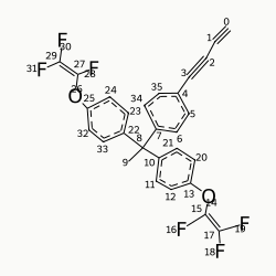 C#CC#Cc1ccc(C(C)(c2ccc(OC(F)=C(F)F)cc2)c2ccc(OC(F)=C(F)F)cc2)cc1